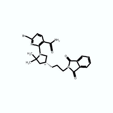 CC1(C)C[C@@H](CCCN2C(=O)c3ccccc3C2=O)CN1c1nc(Br)ccc1C(N)=O